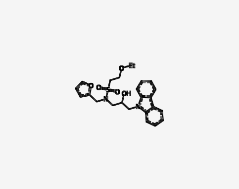 CCOCCS(=O)(=O)N(Cc1ccco1)CC(O)Cn1c2ccccc2c2ccccc21